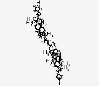 CC1(C)C2=CC[C@@H]3[C@@H](CC[C@]4(C)C(OC(=O)/C=C/C(=O)OC5CC[C@H]6[C@@H]7CC=C8C(C)(C)C(=NO[C@@H]9CCNC9)CC[C@]8(C)[C@@H]7CC[C@]56C)CC[C@@H]34)[C@@]2(C)CCC1=NO[C@@H]1CCNC1